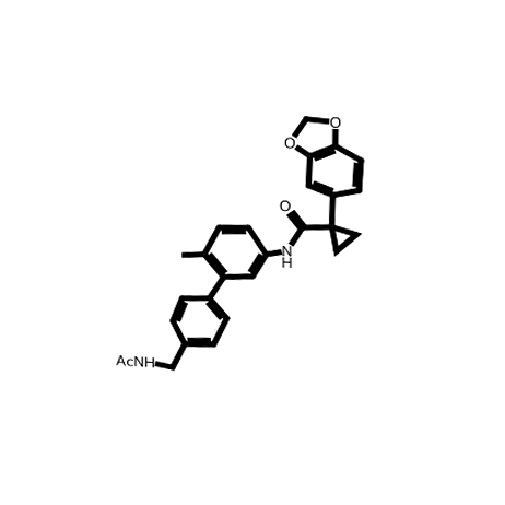 CC(=O)NCc1ccc(-c2cc(NC(=O)C3(c4ccc5c(c4)OCO5)CC3)ccc2C)cc1